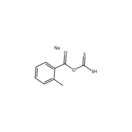 Cc1ccccc1C(=O)OC(=S)S.[Na]